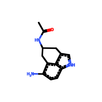 CC(=O)NC1Cc2c[nH]c3ccc(N)c(c23)C1